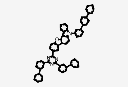 C1=CC2c3cc(-c4nc(-c5cccc(-c6ccccc6)c5)nc(-c5cccc(-c6ccccc6)c5)n4)ccc3OC2c2c1n(-c1cccc(-c3ccc(-c4ccccc4)cc3)c1)c1ccccc21